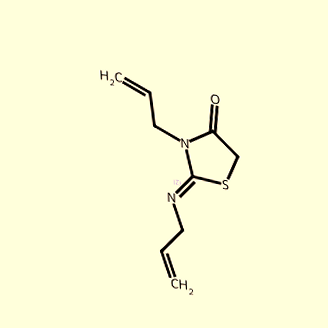 C=CC/N=C1\SCC(=O)N1CC=C